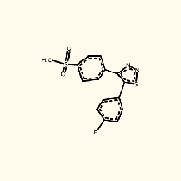 CS(=O)(=O)c1ccc(-c2nnsc2-c2ccc(F)cc2)cc1